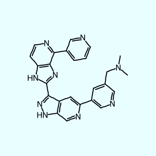 CN(C)Cc1cncc(-c2cc3c(-c4nc5c(-c6cccnc6)nccc5[nH]4)n[nH]c3cn2)c1